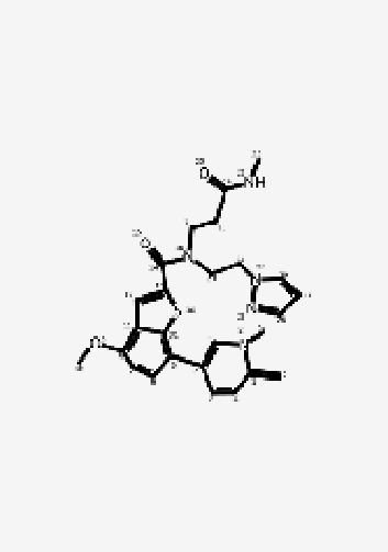 C=C1C=CC(c2ccc(OC)c3cc(C(=O)N(CCC(=O)NC)CCn4cccn4)sc23)=CN1C